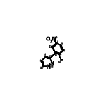 O=[N+]([O-])c1ccc(F)c(-c2cccnn2)c1